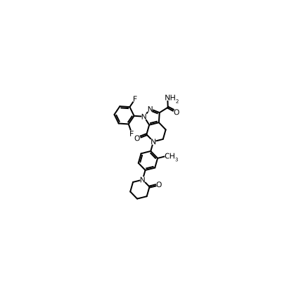 Cc1cc(N2CCCCC2=O)ccc1N1CCc2c(C(N)=O)nn(-c3c(F)cccc3F)c2C1=O